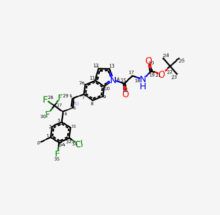 Cc1cc(C(/C=C/c2ccc3c(ccn3C(=O)CNC(=O)OC(C)(C)C)c2)C(F)(F)F)cc(Cl)c1F